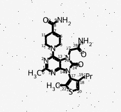 Cc1nc(N2CC=C(C(N)=O)CC2)c2c(n1)n(-c1c(C(C)C)csc1C)c(=O)n2CC(N)=O